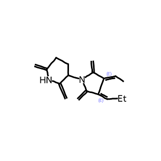 C=C1CCC(n2c(=C)c(=C/C)/c(=C\CC)c2=C)C(=C)N1